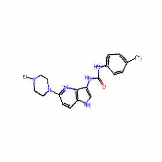 CCN1CCN(c2ccc3[nH]cc(NC(=O)Nc4ccc(C(F)(F)F)cc4)c3n2)CC1